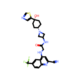 N#Cc1cc(NCC(=O)NC2CN([C@H]3CC[C@](O)(c4cncs4)CC3)C2)c2cc(C(F)(F)F)ccc2n1